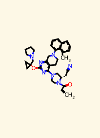 C=CC(=O)N1CCN(c2nc(OC3(CN4CCCC4)CC3)nc3c2CCN(c2cccc4cccc(C)c24)C3)C[C@@H]1CC#N